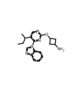 CCC(C)c1cnc(OC2CC(N)C2)nc1-n1cnc2ccccc21